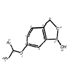 CCCC(Oc1ccc2c(c1)B(O)OC2)C(C)=O